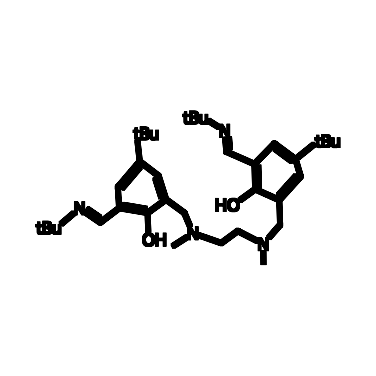 CN(CCN(C)Cc1cc(C(C)(C)C)cc(/C=N/C(C)(C)C)c1O)Cc1cc(C(C)(C)C)cc(/C=N/C(C)(C)C)c1O